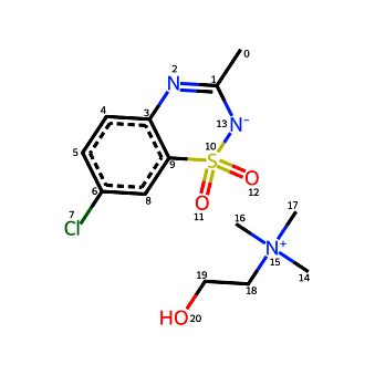 CC1=Nc2ccc(Cl)cc2S(=O)(=O)[N-]1.C[N+](C)(C)CCO